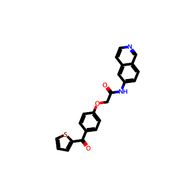 O=C(COc1ccc(C(=O)c2cccs2)cc1)Nc1ccc2cnccc2c1